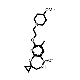 COC1CCN(CCOc2nc3c(cc2C)[S+]([O-])NCC2(CC2)O3)CC1